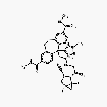 C=C(NC)c1ccc2c(c1)CCc1cc(C(=O)NC)ccc1C2(C[C@H](C)NCC(=C)N1C(C#N)C[C@@H]2C[C@@H]21)c1nnc(C)[nH]1